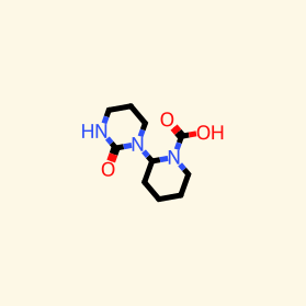 O=C(O)N1CCCCC1N1CCCNC1=O